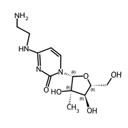 C[C@@]1(O)[C@H](O)[C@@H](CO)O[C@H]1n1ccc(NCCN)nc1=O